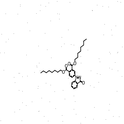 CCCCCCCCOC(=O)c1ccccc1C(=O)OCCCCCCCC.O=C1N=Nc2ccccc21